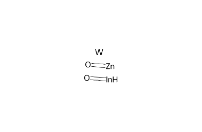 [O]=[InH].[O]=[Zn].[W]